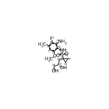 COc1cc(C)c(F)c(N)c1NS(=O)(=O)C1(C[C@H](O)CO)CC1